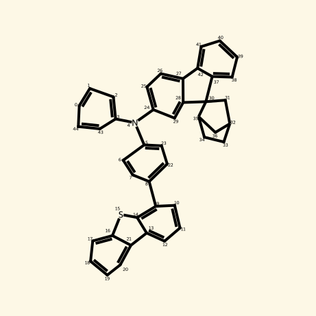 c1ccc(N(c2ccc(-c3cccc4c3sc3ccccc34)cc2)c2ccc3c(c2)C2(CC4CCC2C4)c2ccccc2-3)cc1